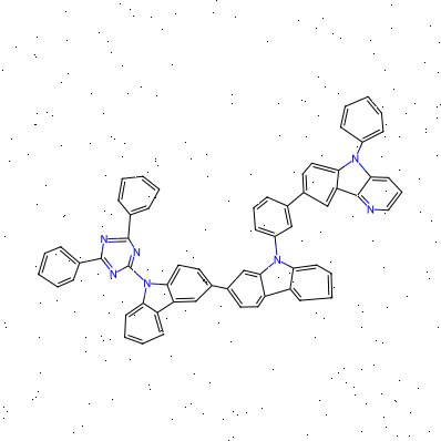 c1ccc(-c2nc(-c3ccccc3)nc(-n3c4ccccc4c4cc(-c5ccc6c7ccccc7n(-c7cccc(-c8ccc9c(c8)c8ncccc8n9-c8ccccc8)c7)c6c5)ccc43)n2)cc1